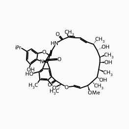 CO[C@H]1/C=C/O[C@@]2(C)Oc3c(C)c(O)c4c(=O)c(c5oc6cc(C(C)C)cc(O)c6nc-5c4c3C2=O)NC(=O)/C(C)=C\C=C\[C@H](C)[C@H](O)[C@@H](C)[C@@H](O)[C@@H](C)[C@H](O)[C@@H]1C